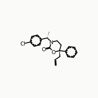 C=CC[C@]1(c2ccccc2)CCN([C@@H](C)c2ccc(Cl)cc2)C(=O)O1